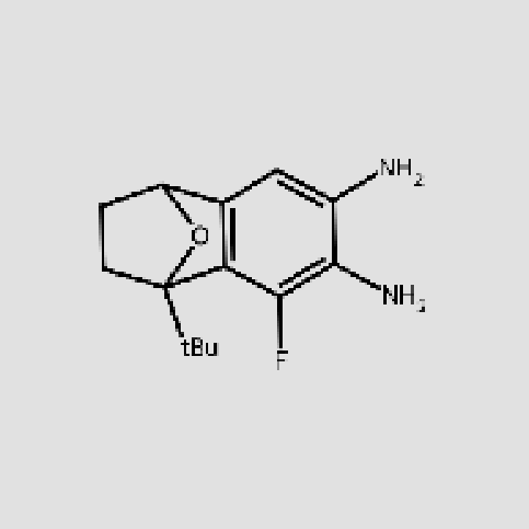 CC(C)(C)C12CCC(O1)c1cc(N)c(N)c(F)c12